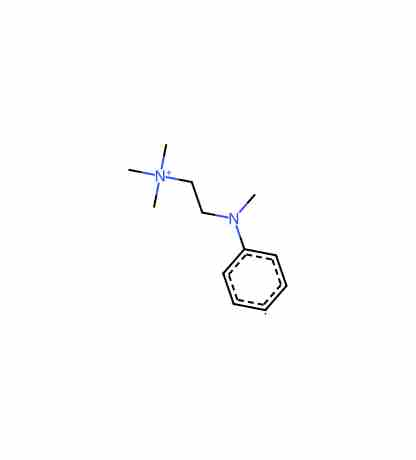 CN(CC[N+](C)(C)C)c1cc[c]cc1